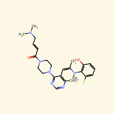 CN(C)C/C=C/C(=O)N1CCN(c2ncnc(C=O)c2/C=C(\N(C)c2c(O)cccc2F)C(F)(F)F)CC1